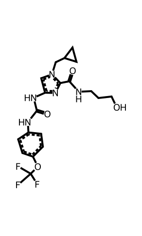 O=C(Nc1ccc(OC(F)(F)F)cc1)Nc1cn(CC2CC2)c(C(=O)NCCCO)n1